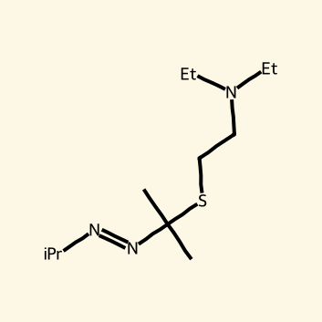 CCN(CC)CCSC(C)(C)N=NC(C)C